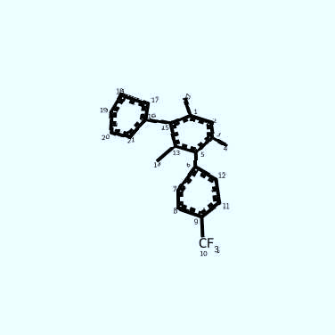 Cc1cc(C)c(-c2ccc(C(F)(F)F)cc2)c(C)c1-c1ccccc1